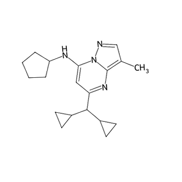 Cc1cnn2c(NC3CCCC3)cc(C(C3CC3)C3CC3)nc12